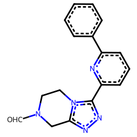 O=CN1CCn2c(nnc2-c2cccc(-c3ccccc3)n2)C1